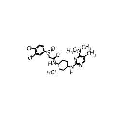 Cc1cnc(NC2CCC(NC(=O)C[S+]([O-])c3ccc(Cl)c(Cl)c3)CC2)nc1N(C)C.Cl